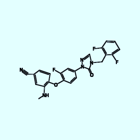 CNc1cc(C#N)ccc1Oc1ccc(-n2ncn(Cc3c(F)cccc3F)c2=O)cc1F